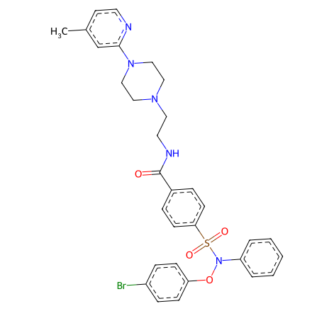 Cc1ccnc(N2CCN(CCNC(=O)c3ccc(S(=O)(=O)N(Oc4ccc(Br)cc4)c4ccccc4)cc3)CC2)c1